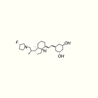 C[C@@H](CN1CC[C@H](F)C1)[C@H]1CC[C@H]2/C(=C/C=C3C[C@@H](O)C[C@H](O)C3)CCC[C@]12C